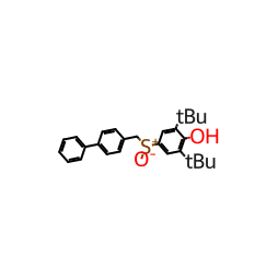 CC(C)(C)c1cc([S+]([O-])Cc2ccc(-c3ccccc3)cc2)cc(C(C)(C)C)c1O